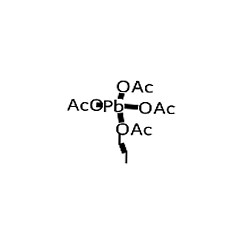 CC(=O)[O][Pb]([O]C(C)=O)([O]C(C)=O)[O]C(C)=O.II